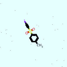 Cc1ccc(S(=O)(=O)C#CI)cc1